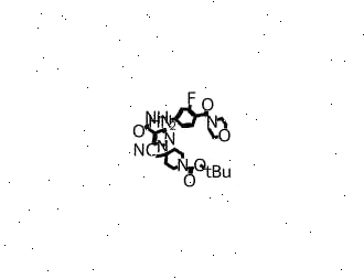 CC(C)(C)OC(=O)N1CCC(CC#N)(n2cc(C(N)=O)c(Nc3ccc(C(=O)N4CCOCC4)c(F)c3)n2)CC1